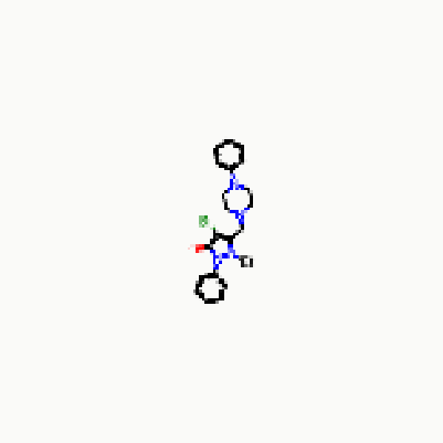 CCn1c(CN2CCN(c3ccccc3)CC2)c(Br)c(=O)n1-c1ccccc1